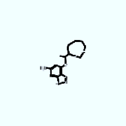 Nc1cc(OC(I)C2CCCCCCCC2)c2nn[nH]c2n1